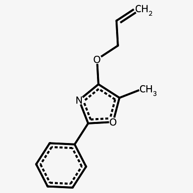 C=CCOc1nc(-c2ccccc2)oc1C